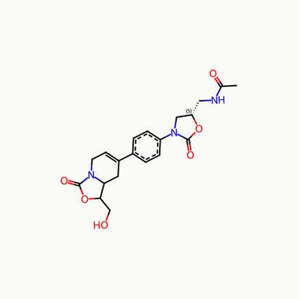 CC(=O)NC[C@H]1CN(c2ccc(C3=CCN4C(=O)OC(CO)C4C3)cc2)C(=O)O1